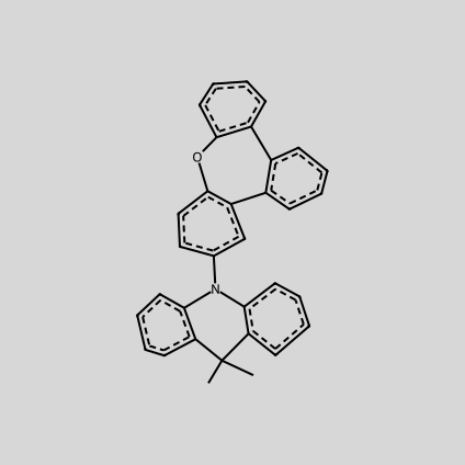 CC1(C)c2ccccc2N(c2ccc3c(c2)-c2ccccc2-c2ccccc2O3)c2ccccc21